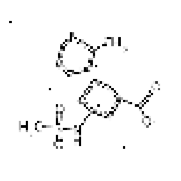 CS(=O)(=O)Nc1cccc(C([O])=O)c1.Cc1ccccn1